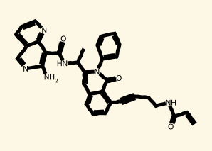 C=CC(=O)NCCC#Cc1cccc2cc(C(C)NC(=O)c3c(N)ncc4cccnc34)n(-c3ccccc3)c(=O)c12